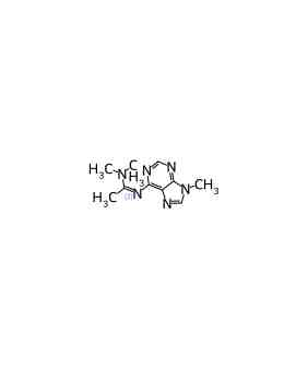 C/C(=N/c1ncnc2c1ncn2C)N(C)C